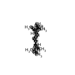 CCC(C)[C@H](NC(=O)OC)C(=O)N1C[C@@H](C)C[C@H]1c1ncc(-c2ccc3c(c2)COc2cc4c(ccc5nc([C@@H]6C[C@H](COC)CN6C(=O)[C@@H](NC(=O)OC)[C@@H](C)OC)[nH]c54)cc2-3)[nH]1